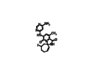 Cc1cc(Nc2cc(N)ncn2)c(=O)n2c1C(=O)NC21C=CCCC(F)C1